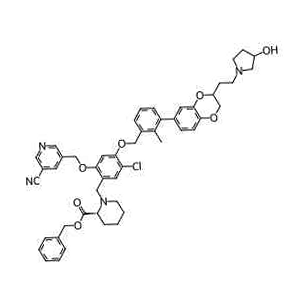 Cc1c(COc2cc(OCc3cncc(C#N)c3)c(CN3CCCC[C@H]3C(=O)OCc3ccccc3)cc2Cl)cccc1-c1ccc2c(c1)OC(CCN1CCC(O)C1)CO2